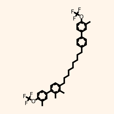 Cc1cc(-c2ccc(CCCCCCCCCc3ccc(-c4ccc(OC(F)(F)F)c(C)c4)c(C)c3C)cc2)ccc1OC(F)(F)F